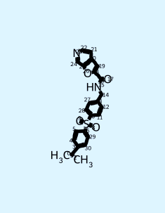 CC(C)c1ccc(S(=O)(=O)c2ccc(CNC(=O)c3cc4ccncc4o3)cc2)cc1